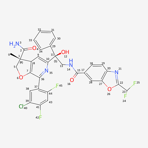 C[C@]1(C(N)=O)COc2c1cc([C@@](O)(CNC(=O)c1ccc3nc(C(F)F)oc3c1)c1ccccc1)nc2-c1cc(Cl)c(F)cc1F